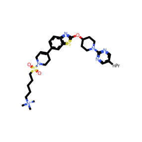 CCCc1cnc(N2CCC(Oc3nc4ccc(C5=CCN(S(=O)(=O)CCCCC[N+](C)(C)C)CC5)cc4s3)CC2)nc1